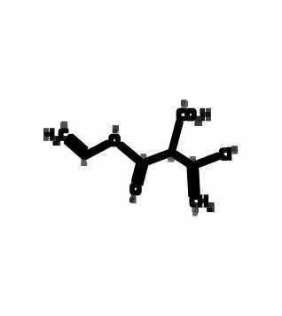 C=COC(=O)C(C(=C)Cl)C(=O)O